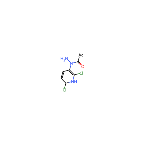 CC(=O)C(=O)N(N)C1=C(Cl)NC(Cl)C=C1